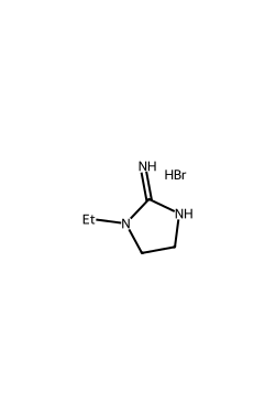 Br.CCN1CCNC1=N